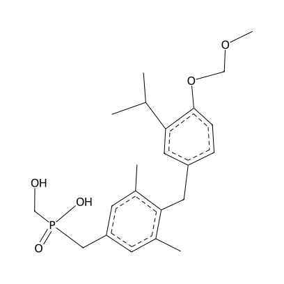 COCOc1ccc(Cc2c(C)cc(CP(=O)(O)CO)cc2C)cc1C(C)C